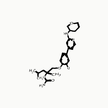 CC(C)CC(C)(COc1ccc(-c2ccnc(NC3CCCOC3)c2)cc1Cl)OC(N)=O